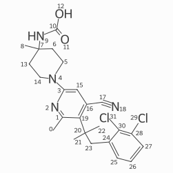 Cc1nc(N2CCC(C)(NC(=O)O)CC2)cc(C#N)c1C(C)(C)Cc1cccc(Cl)c1Cl